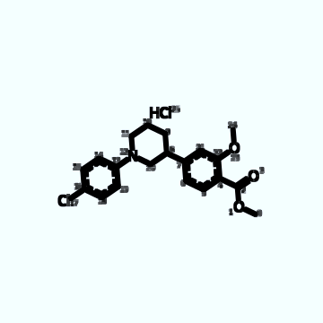 COC(=O)c1ccc(C2CCCN(c3ccc(Cl)cc3)C2)cc1OC.Cl